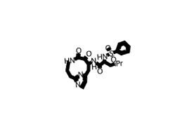 CC(C)CC(NS(=O)(=O)c1ccccc1)C(=O)NC1Cc2ccnc(n2)CCCNC(=O)C1=O